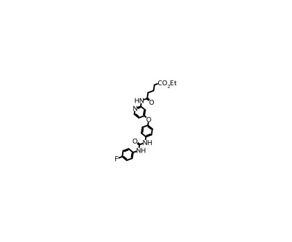 CCOC(=O)CCCC(=O)Nc1cc(Oc2ccc(NC(=O)Nc3ccc(F)cc3)cc2)ccn1